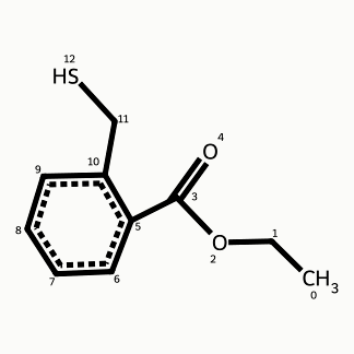 CCOC(=O)c1ccccc1CS